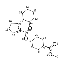 COC(=O)[C@H]1CC[C@H](OC(OC2CCCCC2)N2CCCC2)CC1